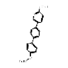 CCCCCCCCc1ccc(-c2ccc(-c3ccc(OCCCC)cc3)cc2)cn1